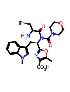 Cc1oc([C@@H](Cc2cn(C)c3ccccc23)N(C(=O)C(N)CC(C)C)C(=O)N2CCOCC2)nc1C(=O)O